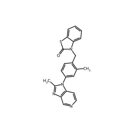 Cc1cc(-n2c(C)nc3cnccc32)ccc1Cn1c(=O)sc2ccccc21